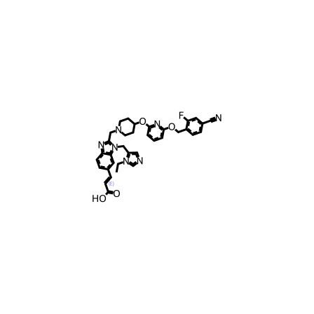 CCn1cncc1Cn1c(CN2CCC(Oc3cccc(OCc4ccc(C#N)cc4F)n3)CC2)nc2ccc(/C=C/C(=O)O)cc21